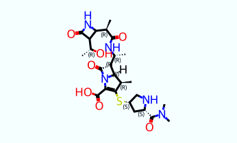 C[C@@H](O)C1C(=O)NC1[C@@H](C)C(=O)N[C@H](C)[C@H]1C(=O)N2C(C(=O)O)=C(S[C@@H]3CN[C@H](C(=O)N(C)C)C3)[C@H](C)[C@H]12